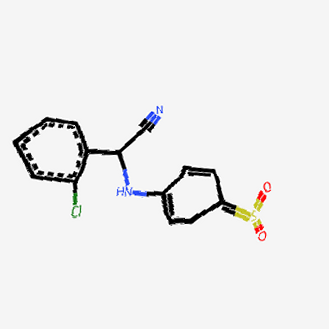 N#CC(NC1=CCC(=S(=O)=O)C=C1)c1ccccc1Cl